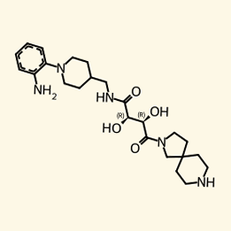 Nc1ccccc1N1CCC(CNC(=O)[C@H](O)[C@@H](O)C(=O)N2CCC3(CCNCC3)C2)CC1